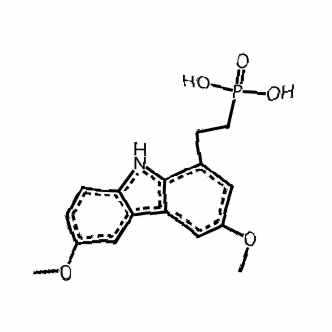 COc1ccc2[nH]c3c(CCP(=O)(O)O)cc(OC)cc3c2c1